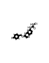 CCNC(=O)Nc1ccc2ncc(OCc3ccc(F)cc3)nc2n1